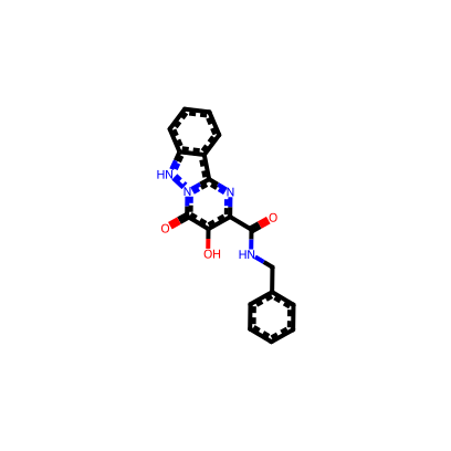 O=C(NCc1ccccc1)c1nc2c3ccccc3[nH]n2c(=O)c1O